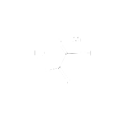 O.O=C(O)C(=O)O.[Mn]